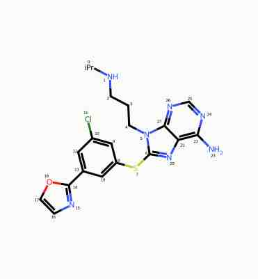 CC(C)NCCCn1c(Sc2cc(Cl)cc(-c3ncco3)c2)nc2c(N)ncnc21